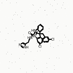 O=C(CNc1ccccc1C1(Cc2cccc(Cl)c2)C(=O)Nc2cc(Cl)ccc21)NCCc1cnc[nH]1